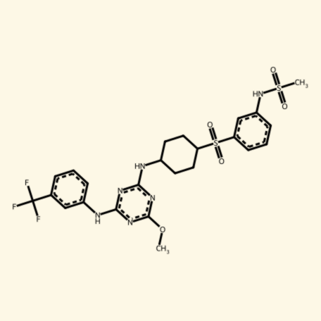 COc1nc(Nc2cccc(C(F)(F)F)c2)nc(NC2CCC(S(=O)(=O)c3cccc(NS(C)(=O)=O)c3)CC2)n1